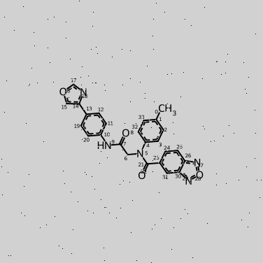 Cc1ccc(N(CC(=O)Nc2ccc(-c3cocn3)cc2)C(=O)c2ccc3nonc3c2)cc1